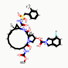 CC(C)(C)OC(=O)N[C@H]1CCCCC/C=C\[C@@H]2C[C@@]2(C(=O)NS(=O)(=O)Cc2ccccc2C(F)(F)F)NC(=O)[C@@H]2C[C@@H](OC(=O)N3Cc4cccc(F)c4C3)CN2C1=O